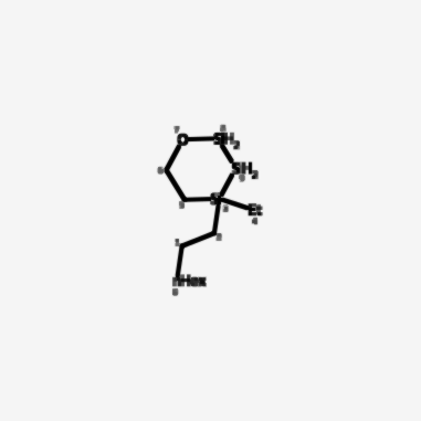 CCCCCCCC[Si]1(CC)CCO[SiH2][SiH2]1